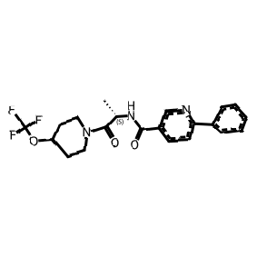 C[C@H](NC(=O)c1ccc(-c2ccccc2)nc1)C(=O)N1CCC(OC(F)(F)F)CC1